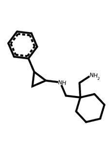 NCC1(CNC2CC2c2ccccc2)CCCCC1